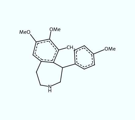 COc1ccc(C2CNCCc3cc(OC)c(OC)c(C)c32)cc1